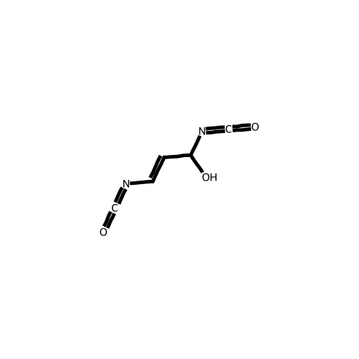 O=C=NC=CC(O)N=C=O